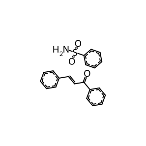 NS(=O)(=O)c1ccccc1.O=C(C=Cc1ccccc1)c1ccccc1